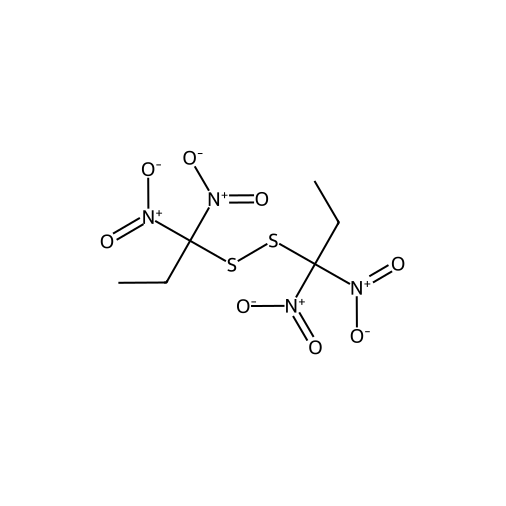 CCC(SSC(CC)([N+](=O)[O-])[N+](=O)[O-])([N+](=O)[O-])[N+](=O)[O-]